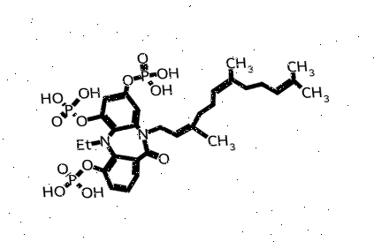 CCN1c2c(OP(=O)(O)O)cccc2C(=O)N(CC=C(C)CCC=C(C)CCC=C(C)C)c2cc(OP(=O)(O)O)cc(OP(=O)(O)O)c21